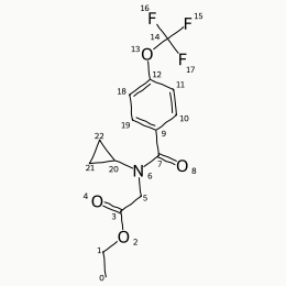 CCOC(=O)CN(C(=O)c1ccc(OC(F)(F)F)cc1)C1CC1